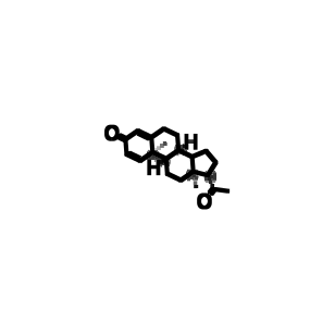 CC(=O)[C@H]1CCC2[C@@H]3CCC4=CC(=O)C=C[C@]4(C)[C@H]3CC[C@@]21C